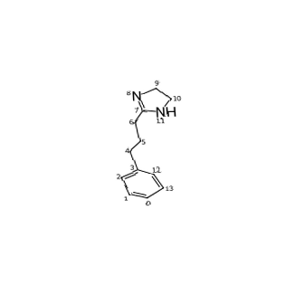 c1ccc(CCCC2=NCCN2)cc1